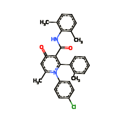 Cc1ccccc1-c1c(C(=O)Nc2c(C)cccc2C)c(=O)cc(C)n1-c1ccc(Cl)cc1